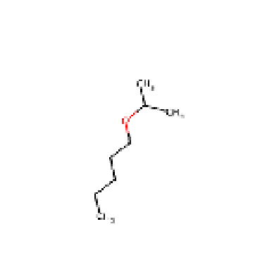 [CH2]CCCCOC(C)C